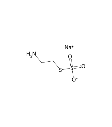 NCCSS(=O)(=O)[O-].[Na+]